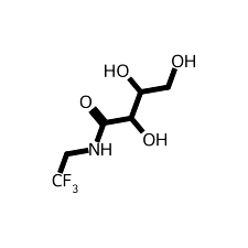 O=C(NCC(F)(F)F)C(O)C(O)CO